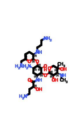 CN[C@@H]1[C@@H](O)[C@@H](O[C@@H]2[C@@H](O)[C@H](O[C@H]3OC(CN)=CC[C@H]3NCCCN)[C@@H](N)C[C@H]2NC(=O)[C@@H](O)CCN)OC[C@]1(C)O